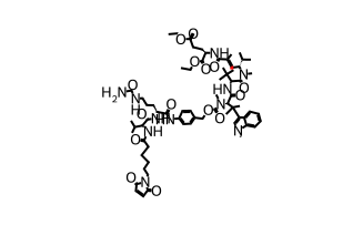 CCOC(=O)CC[C@@H](NC(=O)/C(C)=C/[C@H](C(C)C)N(C)C(=O)[C@@H](NC(=O)[C@@H](N(C)C(=O)OCc1ccc(NC(=O)[C@H](CCCNC(N)=O)NC(=O)[C@@H](NC(=O)CCCCCN2C(=O)C=CC2=O)C(C)C)cc1)C(C)(C)c1cn(C)c2ccccc12)C(C)(C)C)C(=O)OCC